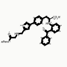 CCCCCC(=O)CNCc1cc(-c2ccc(C[C@H](Nc3ccccc3C(=O)c3ccccc3)C(=O)O)cc2)cs1